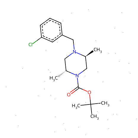 C[C@@H]1CN(Cc2cccc(Cl)c2)[C@@H](C)CN1C(=O)OC(C)(C)C